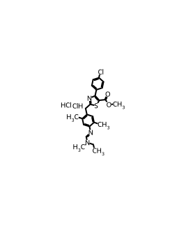 CCN(C)C=Nc1cc(C)c(Cc2nc(-c3ccc(Cl)cc3)c(C(=O)OC)s2)cc1C.Cl.Cl